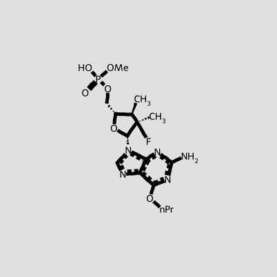 CCCOc1nc(N)nc2c1ncn2[C@@H]1O[C@H](COP(=O)(O)OC)[C@@H](C)[C@@]1(C)F